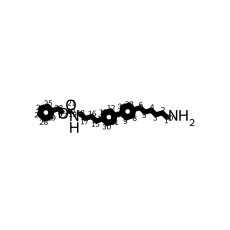 NCCCCCCc1ccc(-c2ccc(CCCCNC(=O)OCc3ccccc3)cc2)cc1